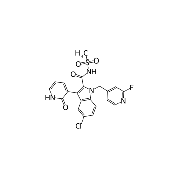 CS(=O)(=O)NC(=O)c1c(-c2ccc[nH]c2=O)c2cc(Cl)ccc2n1Cc1ccnc(F)c1